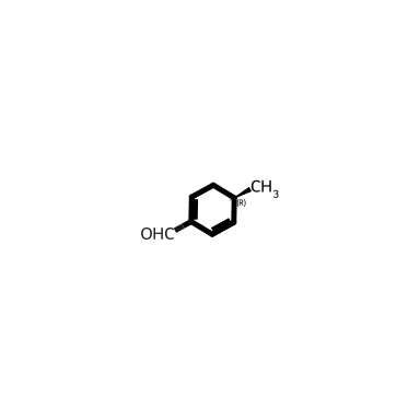 C[C@H]1C=CC(C=O)=CC1